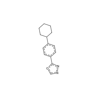 c1nnc(-c2ccc(C3CCCCC3)cc2)o1